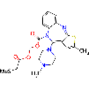 CSCC(=O)OCOC(=O)N1C(N2CCN(C)CC2)=c2cc(C)sc2=Nc2ccccc21